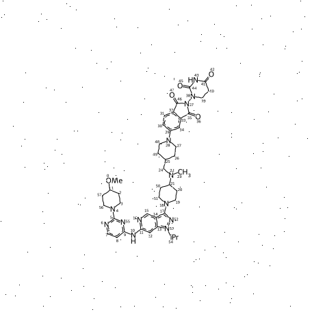 COC1CCN(c2nccc(Nc3cc4c(cn3)c(N3CCC(N(C)CC5CCN(c6ccc7c(c6)C(=O)N(N6CCC(=O)NC6=O)C7=O)CC5)CC3)nn4C(C)C)n2)CC1